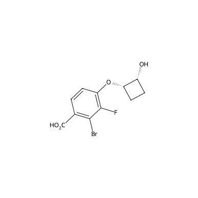 O=C(O)c1ccc(O[C@H]2CC[C@H]2O)c(F)c1Br